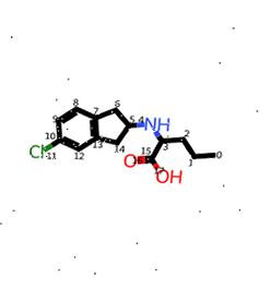 CCCC(NC1Cc2ccc(Cl)cc2C1)C(=O)O